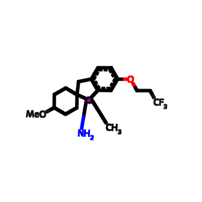 COC1CCC2(CC1)Cc1ccc(OCCC(F)(F)F)cc1C21N=C(C)C(N)=N1